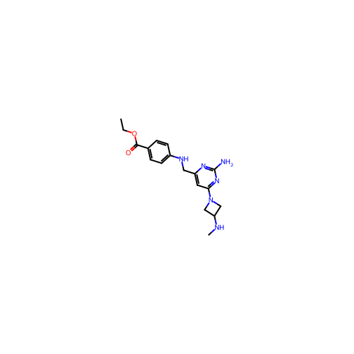 CCOC(=O)c1ccc(NCc2cc(N3CC(NC)C3)nc(N)n2)cc1